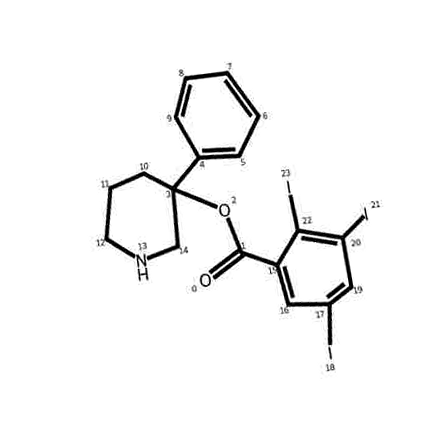 O=C(OC1(c2ccccc2)CCCNC1)c1cc(I)cc(I)c1I